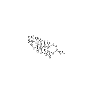 CC(=O)OC1CC[C@]2(C)[C@@H]3CC[C@@]4(C)[C@@H](CC5OC54OC(C)=O)[C@@H]3CC3OC32C1